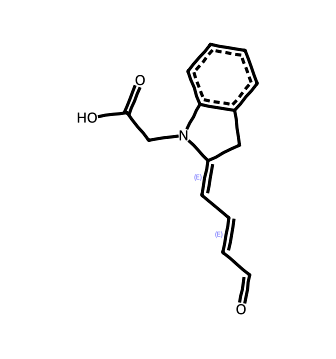 O=C/C=C/C=C1\Cc2ccccc2N1CC(=O)O